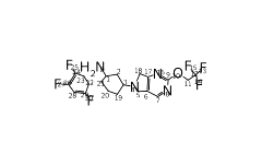 NC1CC(N2Cc3cnc(OCC(F)(F)F)nc3C2)CC[C@@H]1C1CC(F)=C(F)C=C1F